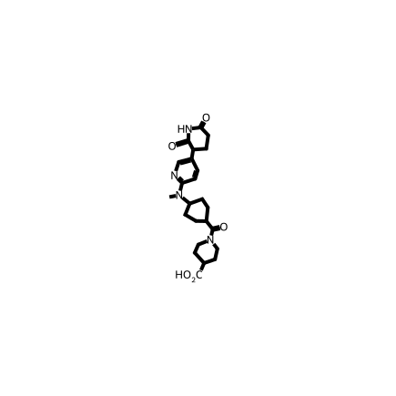 CN(c1ccc(C2CCC(=O)NC2=O)cn1)C1CCC(C(=O)N2CCC(C(=O)O)CC2)CC1